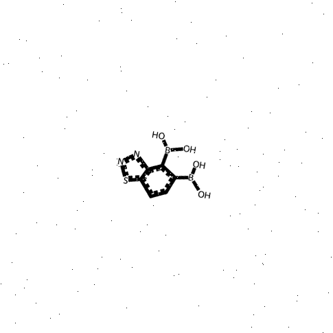 OB(O)c1ccc2snnc2c1B(O)O